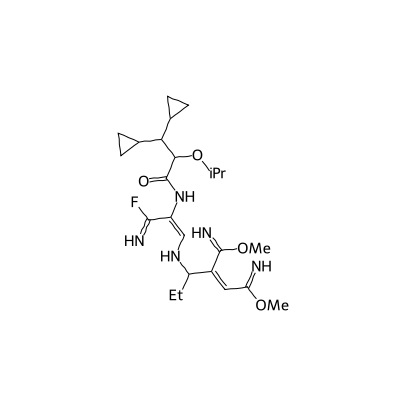 CCC(N/C=C(/NC(=O)C(OC(C)C)C(C1CC1)C1CC1)C(=N)F)/C(=C/C(=N)OC)C(=N)OC